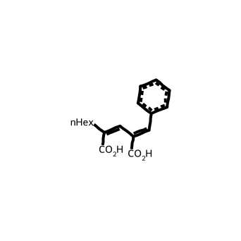 CCCCCCC(=CC(=Cc1ccccc1)C(=O)O)C(=O)O